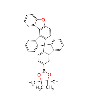 CC1(C)OB(c2ccc3c(c2)-c2ccccc2C32c3ccccc3-c3c2ccc2oc4ccccc4c32)OC1(C)C